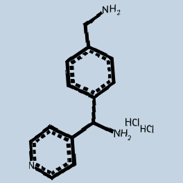 Cl.Cl.NCc1ccc(C(N)c2ccncc2)cc1